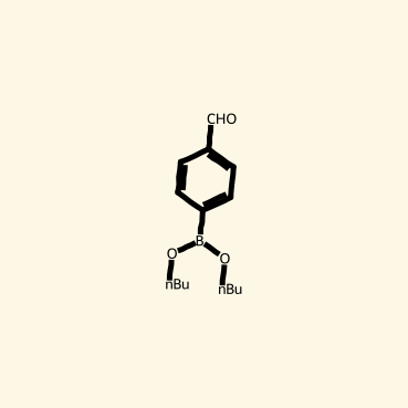 CCCCOB(OCCCC)c1ccc(C=O)cc1